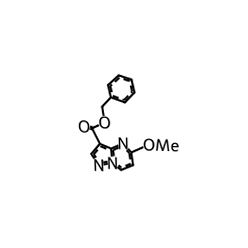 COc1ccn2ncc(C(=O)OCc3ccccc3)c2n1